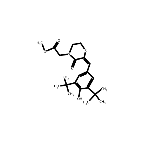 COC(=O)CN1CCSC(=Cc2cc(C(C)(C)C)c(O)c(C(C)(C)C)c2)C1=S